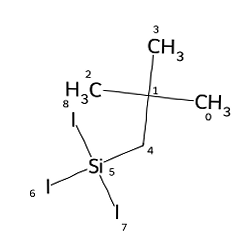 CC(C)(C)C[Si](I)(I)I